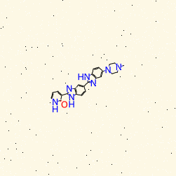 CN1CCN(c2ccc3[nH]c(-c4ccc5[nH]c(-c6ccc[nH]c6=O)nc5c4)nc3c2)CC1